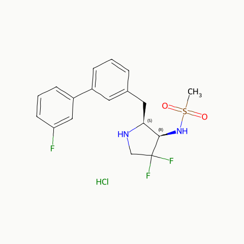 CS(=O)(=O)N[C@@H]1[C@H](Cc2cccc(-c3cccc(F)c3)c2)NCC1(F)F.Cl